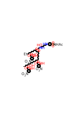 CCC1CC(CCCC2CC(CC(O)CCCC3CC(CCCC(O)CC4C[C@H](C)OC(c5cc([N+](=O)[O-])ccc5O)O4)OC(c4cc([N+](=O)[O-])ccc4O)O3)OC(CNC(O)CCCNc3ccc(S(=O)(=O)NC(C)=O)cc3)O2)OC(c2cc([N+](=O)[O-])ccc2O)O1